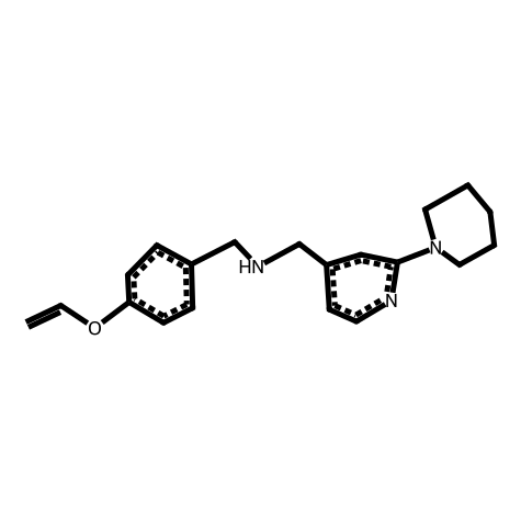 C=COc1ccc(CNCc2ccnc(N3CCCCC3)c2)cc1